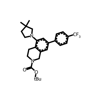 CC1(C)CCN(c2cc(-c3ccc(C(F)(F)F)cc3)cc3c2CCN(C(=O)OC(C)(C)C)C3)C1